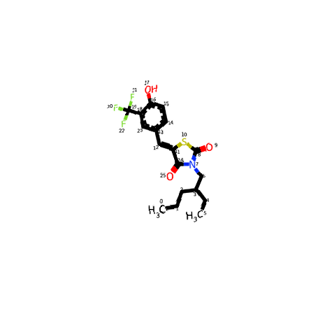 CCCC(CC)CN1C(=O)S/C(=C\c2ccc(O)c(C(F)(F)F)c2)C1=O